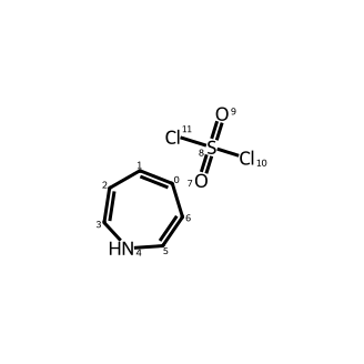 C1=CC=CNC=C1.O=S(=O)(Cl)Cl